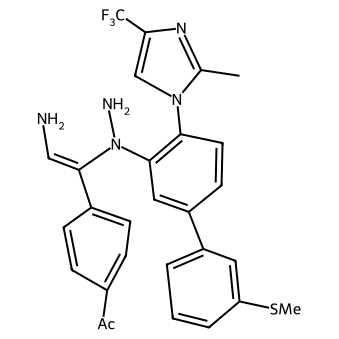 CSc1cccc(-c2ccc(-n3cc(C(F)(F)F)nc3C)c(N(N)/C(=C\N)c3ccc(C(C)=O)cc3)c2)c1